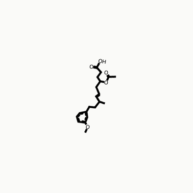 COc1cccc(CCC(C)C=CCC(CCC(=O)O)OC(C)=O)c1